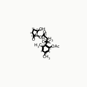 CC(=O)Oc1cc(C)cc(C)c1C(C)(C)CC(=O)ON1C(=O)CCC1O